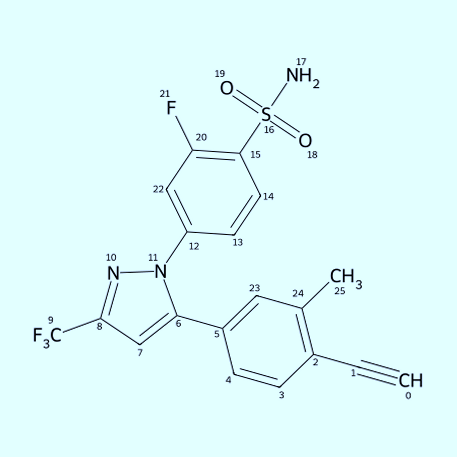 C#Cc1ccc(-c2cc(C(F)(F)F)nn2-c2ccc(S(N)(=O)=O)c(F)c2)cc1C